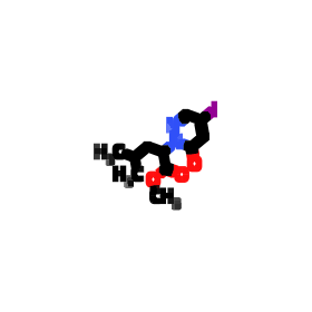 COC(=O)C(CC(C)C)n1ncc(I)cc1=O